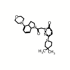 CC1(C)CCN(c2ccc(=O)n(CC(=O)N3CCC4C(N5CCOCC5)=CC=CC43)n2)CC1